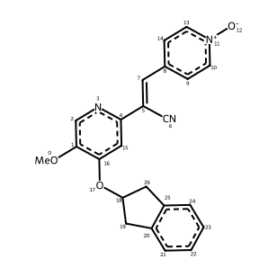 COc1cnc(C(C#N)=Cc2cc[n+]([O-])cc2)cc1OC1Cc2ccccc2C1